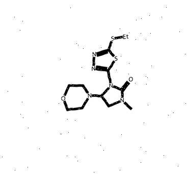 CCSc1nnc(N2C(=O)N(C)CC2N2CCOCC2)s1